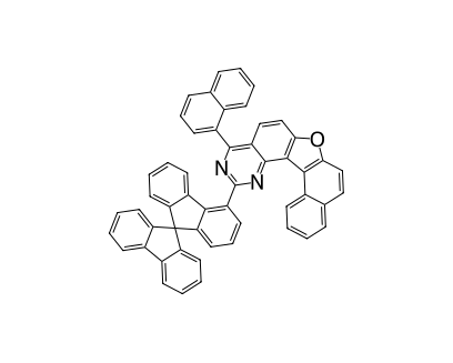 c1ccc2c(c1)-c1ccccc1C21c2ccccc2-c2c(-c3nc(-c4cccc5ccccc45)c4ccc5oc6ccc7ccccc7c6c5c4n3)cccc21